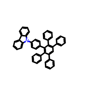 c1ccc(-c2cc(-c3ccccc3)c(-c3ccccc3)c(-c3ccc(-n4c5ccccc5c5ccccc54)cc3)c2-c2ccccc2)cc1